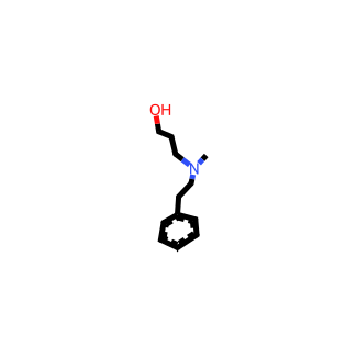 CN(CCCO)CCc1cc[c]cc1